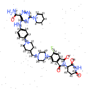 NC(=O)c1nnc(N2CCCCC2)nc1Nc1ccc(N2CCC(CN3CCN(c4cc5c(cc4F)C(=O)N(C4CCC(=O)NC4=O)C5=O)CC3)CC2)cc1